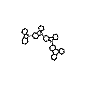 c1ccc2c(c1)c1ccccc1c1cc(-n3c4ccccc4c4cc(-n5c6ccccc6c6cc(-n7c8ccccc8c8ccccc87)ccc65)ccc43)ccc21